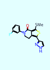 CSc1sc(-c2cc[nH]n2)c2c1C(=O)N(c1cccc(F)c1)CC2